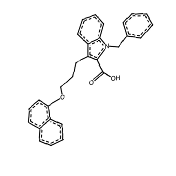 O=C(O)c1c(CCCOc2cccc3ccccc23)c2ccccc2n1Cc1ccccc1